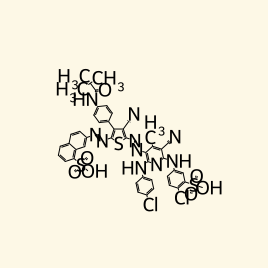 Cc1c(C#N)c(Nc2ccc(Cl)c(S(=O)(=O)O)c2)nc(Nc2ccc(Cl)cc2)c1N=Nc1sc(N=Nc2ccc3cccc(S(=O)(=O)O)c3c2)c(-c2ccc(NC(=O)C(C)(C)C)cc2)c1C#N